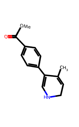 COC(=O)c1ccc(C2=CNCC=C2C)cc1